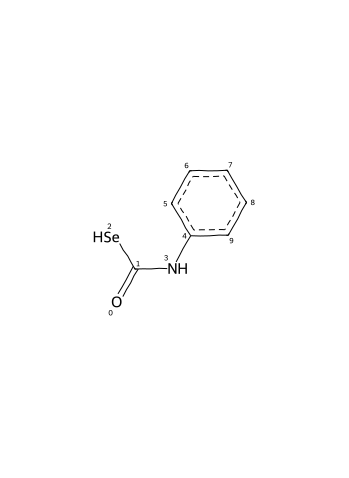 O=C([SeH])Nc1ccccc1